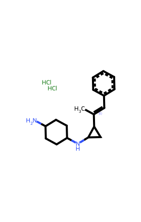 C/C(=C\c1ccccc1)C1CC1NC1CCC(N)CC1.Cl.Cl